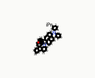 CC(C)c1cccc(N(c2ccccc2)c2ccc3ccc4c(N(c5ccccc5)c5cccc6c5C5(c7ccccc7-6)C6CC7CC(C6)CC5C7)ccc5ccc2c3c54)c1